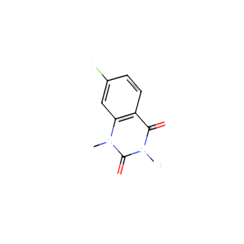 Cn1c(=O)c2ccc(F)cc2n(C)c1=O